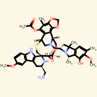 COc1ccc2[nH]c3c(c2c1)C[C@H](CN)N[C@]31CS[C@H]2CN([C@@H](C)[C@@H]3CC4(C)c5cc(C)c(OC)c(O)c5[C@H](C)N34)[C@@H](CO[C@H]3OC31)c1c3c(c(C)c(OC(C)=O)c12)OCO3